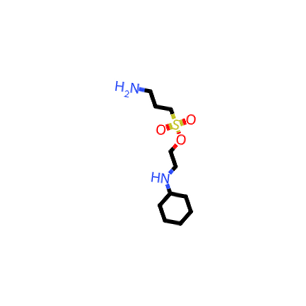 NCCCS(=O)(=O)OCCNC1CCCCC1